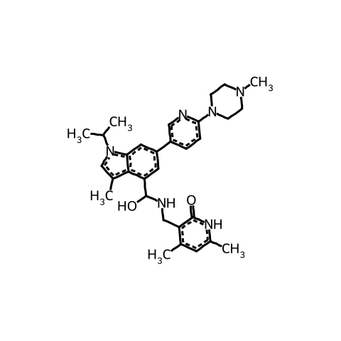 Cc1cc(C)c(CNC(O)c2cc(-c3ccc(N4CCN(C)CC4)nc3)cc3c2c(C)cn3C(C)C)c(=O)[nH]1